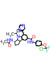 CC(=O)N[C@H]1CCC2c3cc(C(=O)Nc4ccc(OC(F)(F)Cl)cc4)cc(-c4cnccn4)c3N(C(C)C)C21